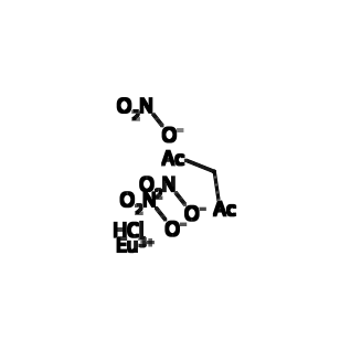 CC(=O)CC(C)=O.Cl.O=[N+]([O-])[O-].O=[N+]([O-])[O-].O=[N+]([O-])[O-].[Eu+3]